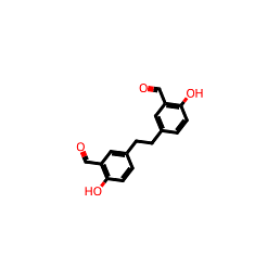 O=Cc1cc(CCc2ccc(O)c(C=O)c2)ccc1O